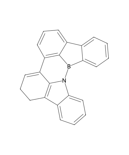 C1=C2c3cccc4c3B(c3ccccc3-4)n3c2c(c2ccccc23)CC1